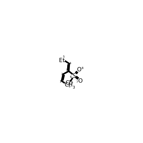 C/C=C\C(=C/CC)S(=O)(=O)Cl